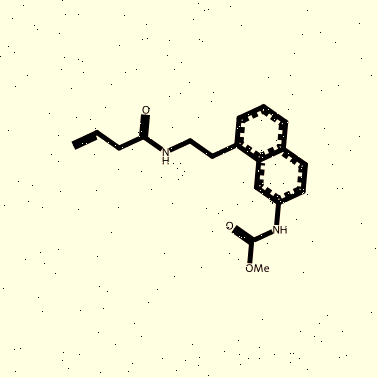 C=CCC(=O)NCCc1cccc2ccc(NC(=O)OC)cc12